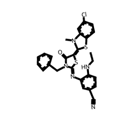 CCNc1ccc(C#N)cc1/N=C1\S/C(=C2\Sc3ccc(Cl)cc3N2C)C(=O)N1Cc1ccccc1